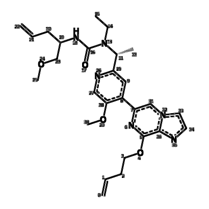 C=CCCOc1nc(-c2cc([C@@H](C)N(CC)C(=O)NC(CC=C)COC)ncc2OC)cn2ccnc12